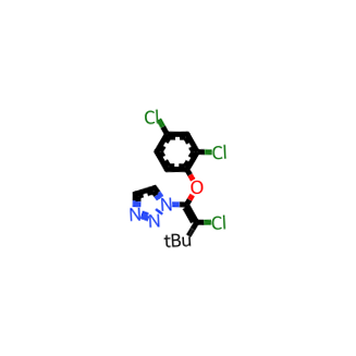 CC(C)(C)C(Cl)=C(Oc1ccc(Cl)cc1Cl)n1ccnn1